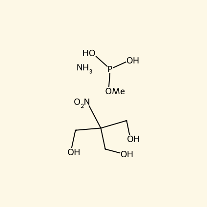 COP(O)O.N.O=[N+]([O-])C(CO)(CO)CO